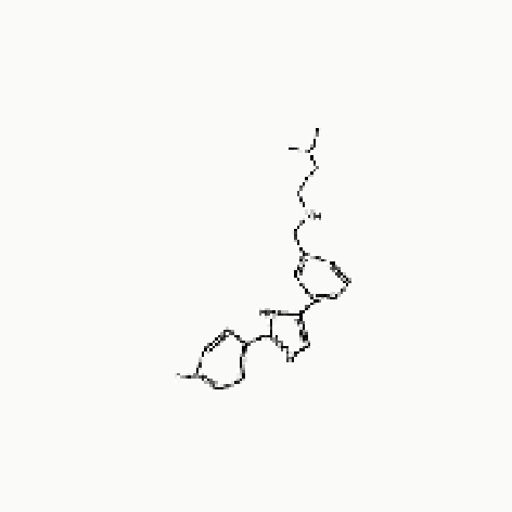 CC(C)CCNCc1cccc(-c2cnc(-c3ccc(F)cc3)[nH]2)c1